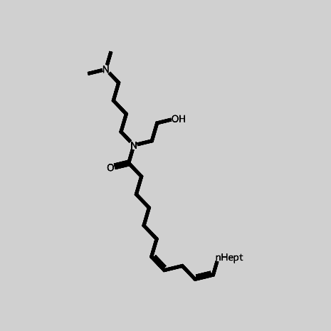 CCCCCCC/C=C\C/C=C\CCCCCC(=O)N(CCO)CCCCN(C)C